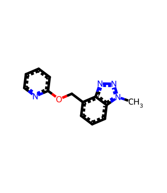 Cn1nnc2c(COc3ccccn3)cccc21